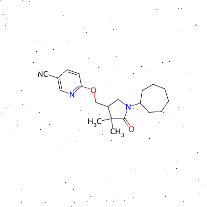 CC1(C)C(=O)N(C2CCCCCC2)CC1COc1ccc(C#N)cn1